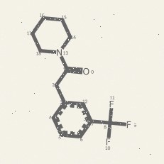 O=C(Cc1cccc(C(F)(F)F)c1)N1CCCCC1